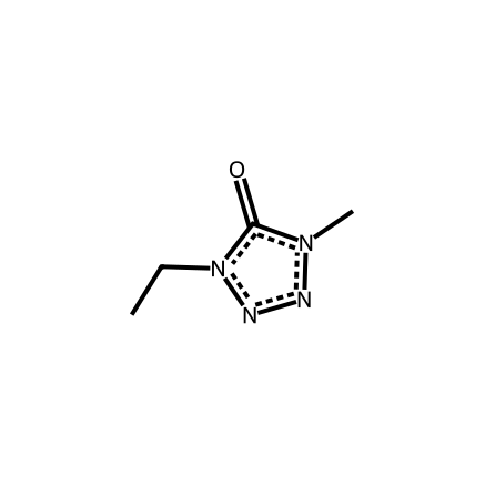 CCn1nnn(C)c1=O